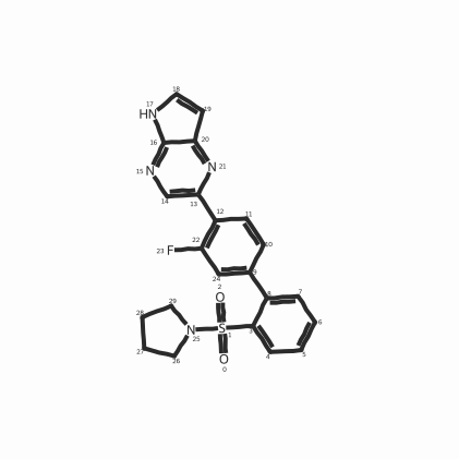 O=S(=O)(c1ccccc1-c1ccc(-c2cnc3[nH]ccc3n2)c(F)c1)N1CCCC1